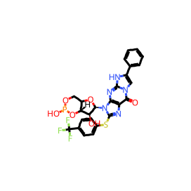 O=c1c2nc(Sc3ccc(C(F)(F)F)cc3)n([C@@H]3OC4COP(O)O[C@H]4[C@@H]3O)c2nc2[nH]c(-c3ccccc3)cn12